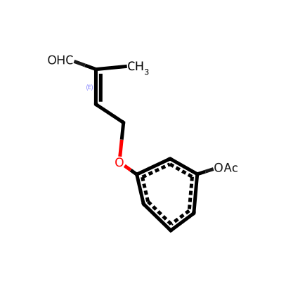 CC(=O)Oc1cccc(OC/C=C(\C)C=O)c1